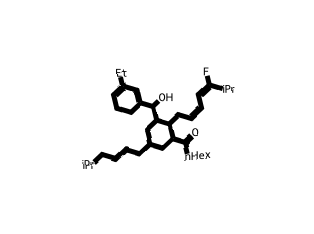 CCCCCCC(=O)C1CC(CCCCC(C)C)CC(C(O)C2=CC(CC)=CCC2)C1C/C=C\C=C(\F)C(C)C